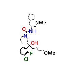 CNCC(CC1CCCC1)NC(=O)N1CCC[C@@H]([C@@](O)(CCCCOC)c2cccc(Cl)c2F)C1